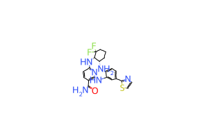 NC(=O)c1ccc(N[C@H]2[C@@H](N)CCCC2(F)F)nc1Nc1cccc(-c2nccs2)c1